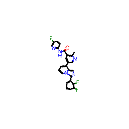 Cc1ncc(-c2cccn3c(-c4cccc(F)c4F)ncc23)cc1C(=O)Nc1ccc(F)cn1